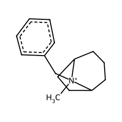 C[N+]1(Cc2ccccc2)C2CCCC1CC2